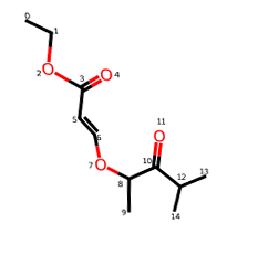 CCOC(=O)C=COC(C)C(=O)C(C)C